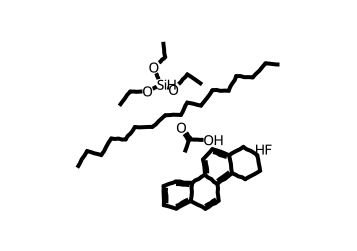 CC(=O)O.CCCCCCCCCCCCCCCCC.CCO[SiH](OCC)OCC.F.c1ccc2c(c1)ccc1c3c(ccc12)CCCC3